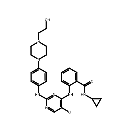 O=C(NC1CC1)c1ccccc1Nc1nc(Nc2ccc(N3CCN(CCO)CC3)cc2)ncc1Cl